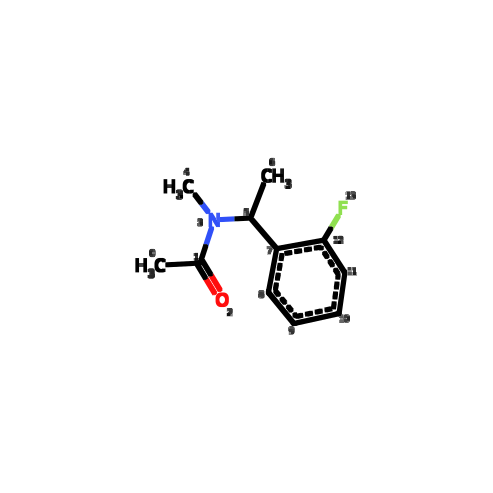 CC(=O)N(C)C(C)c1ccccc1F